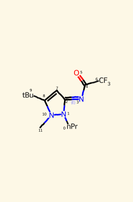 CCCn1/c(=N/C(=O)C(F)(F)F)cc(C(C)(C)C)n1C